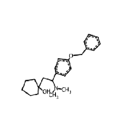 CN(C)C(CC1(O)CCCCC1)c1ccc(OCc2ccccc2)cc1